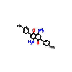 CCCc1ccc(C2=CC(N)=C3C(=O)C(c4ccc(CCC)cc4)=CC(N)=C3C2=O)cc1